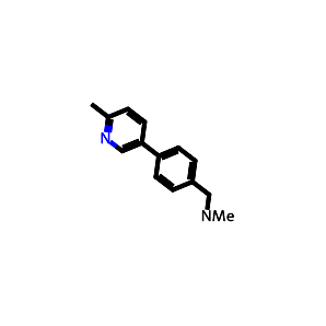 CNCc1ccc(-c2ccc(C)nc2)cc1